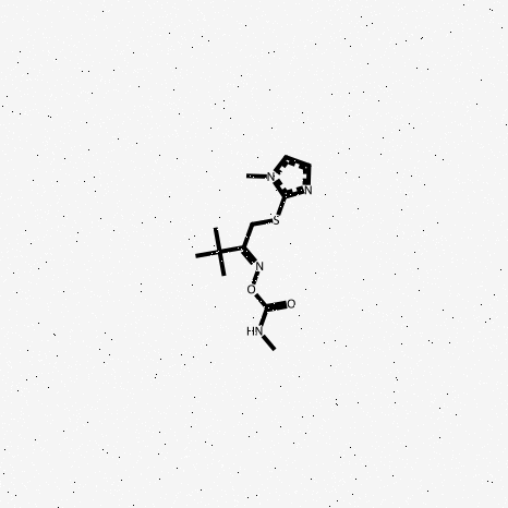 CNC(=O)ON=C(CSc1nccn1C)C(C)(C)C